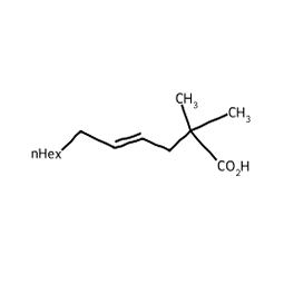 CCCCCCCC=CCC(C)(C)C(=O)O